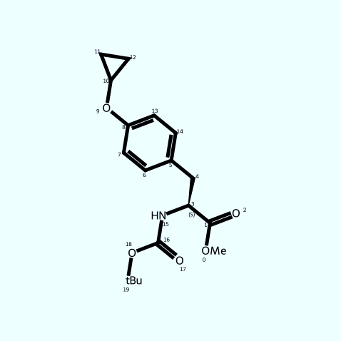 COC(=O)[C@H](Cc1ccc(OC2CC2)cc1)NC(=O)OC(C)(C)C